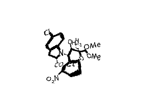 CCOC(=O)[C@@H]1Cc2cc(Cl)ccc2N1[C@H]1c2cc([N+](=O)[O-])ccc2O[C@](C)(C(OC)OC)[C@@H]1O